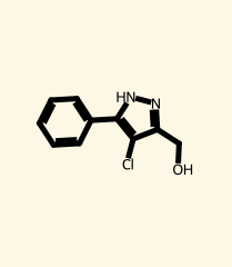 OCc1n[nH]c(-c2ccccc2)c1Cl